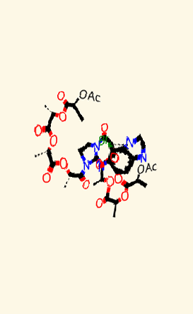 CC(=O)O[C@@H](C)C(=O)O[C@@H](C)C(=O)O[C@@H](C)C(=O)O[C@@H](C)C(=O)N1CCN(C(=O)[C@H](C)OC(=O)[C@H](C)OC(=O)[C@H](C)OC(=O)[C@H](C)OC(C)=O)C1=Nc1ccc2nccnc2c1Br